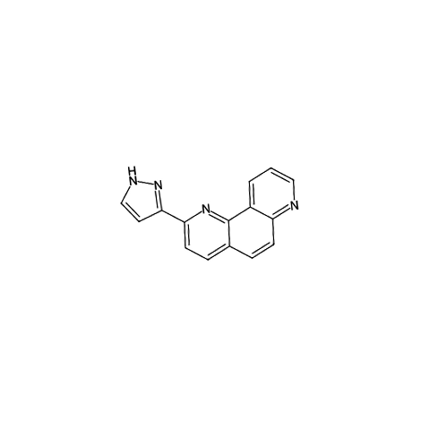 c1cnc2ccc3ccc(-c4cc[nH]n4)nc3c2c1